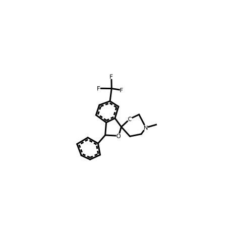 CN1CCC2(CC1)OC(c1ccccc1)c1ccc(C(F)(F)F)cc12